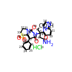 Cl.NC(=O)CC(CC(=O)O)(c1cccc2nccn12)n1c(=O)c(-c2ccccc2)c2n(c1=O)CCCS2(=O)=O